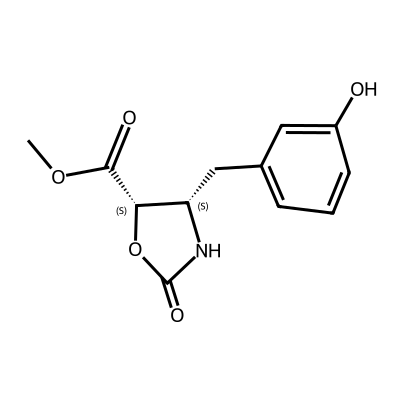 COC(=O)[C@H]1OC(=O)N[C@H]1Cc1cccc(O)c1